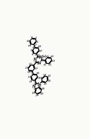 c1ccc(-c2ccc(C3=NC(c4cccc(-c5ccc(-c6nc7ccccc7n6-c6ccccc6)cc5)c4)=NC(c4ccccc4)N3)cc2)cc1